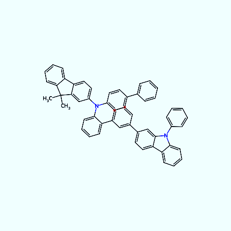 CC1(C)c2ccccc2-c2ccc(N(c3ccc(-c4ccccc4)cc3)c3ccccc3-c3cccc(-c4ccc5c6ccccc6n(-c6ccccc6)c5c4)c3)cc21